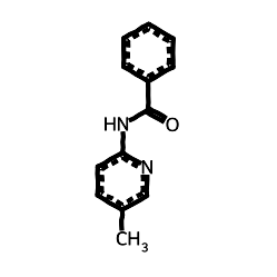 Cc1ccc(NC(=O)c2ccccc2)nc1